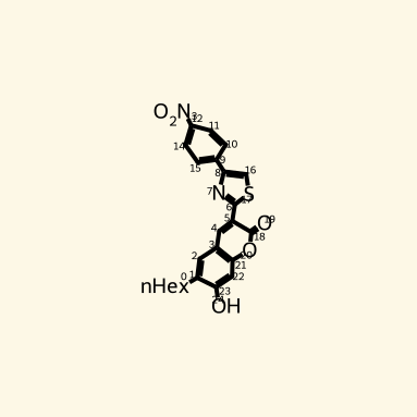 CCCCCCc1cc2cc(-c3nc(-c4ccc([N+](=O)[O-])cc4)cs3)c(=O)oc2cc1O